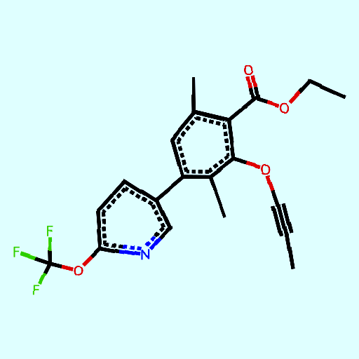 CC#COc1c(C)c(-c2ccc(OC(F)(F)F)nc2)cc(C)c1C(=O)OCC